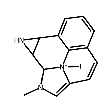 CN1C=C2C=Cc3cccc4c3[N+]2(I)C1C1NC41